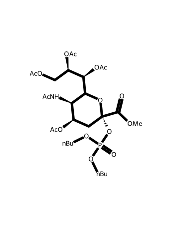 CCCCOP(=O)(OCCCC)O[C@]1(C(=O)OC)C[C@@H](OC(C)=O)[C@@H](NC(C)=O)C([C@H](OC(C)=O)[C@@H](COC(C)=O)OC(C)=O)O1